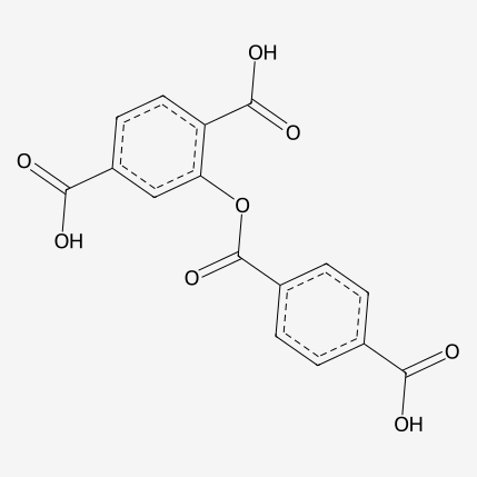 O=C(O)c1ccc(C(=O)Oc2cc(C(=O)O)ccc2C(=O)O)cc1